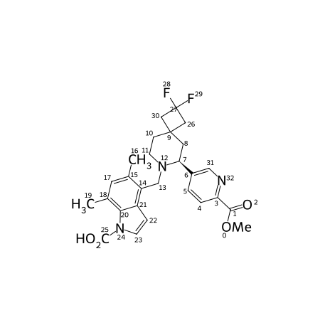 COC(=O)c1ccc([C@@H]2CC3(CCN2Cc2c(C)cc(C)c4c2ccn4C(=O)O)CC(F)(F)C3)cn1